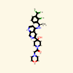 C[C@@H](Nc1ccnc2cnc(C3(O)CCN(C(=O)CN4CCOCC4)CC3)cc12)c1cccc(C(F)F)c1F